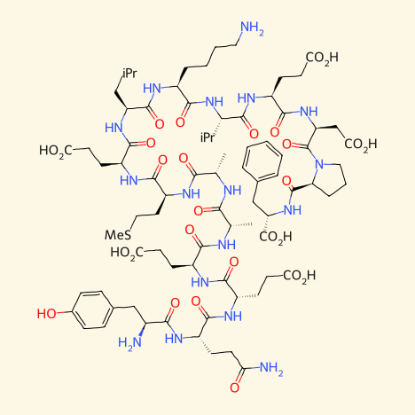 CSCC[C@H](NC(=O)[C@H](C)NC(=O)[C@H](C)NC(=O)[C@H](CCC(=O)O)NC(=O)[C@H](CCC(=O)O)NC(=O)[C@H](CCC(N)=O)NC(=O)[C@@H](N)Cc1ccc(O)cc1)C(=O)N[C@@H](CCC(=O)O)C(=O)N[C@@H](CC(C)C)C(=O)N[C@@H](CCCCN)C(=O)N[C@H](C(=O)N[C@@H](CCC(=O)O)C(=O)N[C@@H](CC(=O)O)C(=O)N1CCC[C@H]1C(=O)N[C@@H](Cc1ccccc1)C(=O)O)C(C)C